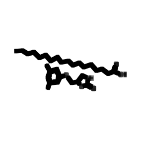 CCCCCCCCCCCCCCCCCC(=O)O.Cc1cc(C)cc(OCC2CNC(=O)O2)c1